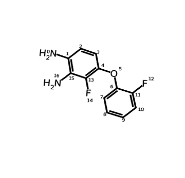 Nc1ccc(Oc2ccccc2F)c(F)c1N